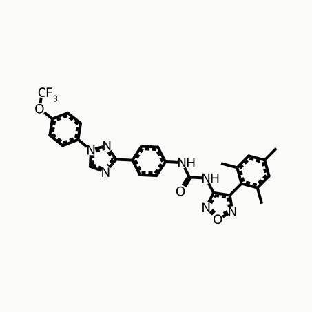 Cc1cc(C)c(-c2nonc2NC(=O)Nc2ccc(-c3ncn(-c4ccc(OC(F)(F)F)cc4)n3)cc2)c(C)c1